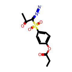 CCC(=O)Oc1ccc(S(=O)(=O)C(=[N+]=[N-])C(C)=O)cc1